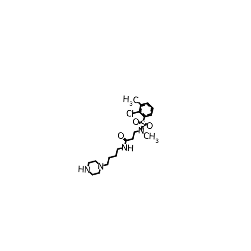 Cc1cccc(S(=O)(=O)N(C)CCC(=O)NCCCCN2CCNCC2)c1Cl